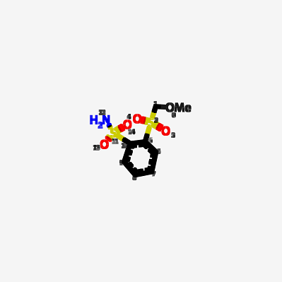 COCS(=O)(=O)c1ccccc1S(N)(=O)=O